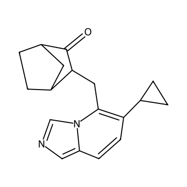 O=C1C2CCC(C2)C1Cc1c(C2CC2)ccc2cncn12